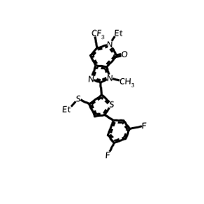 CCSc1cc(-c2cc(F)cc(F)c2)sc1-c1nc2cc(C(F)(F)F)n(CC)c(=O)c2n1C